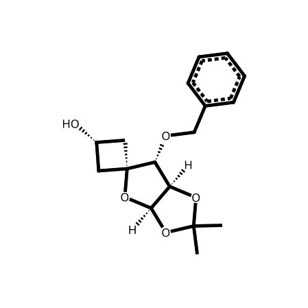 CC1(C)O[C@H]2O[C@]3(C[C@@H](O)C3)[C@H](OCc3ccccc3)[C@H]2O1